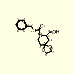 O=C(OCc1ccccc1)N1CCC2(C[C@@H]1CO)OCCO2